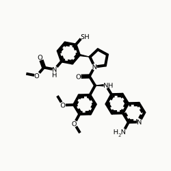 COC(=O)Nc1ccc(S)c([C@H]2CCCN2C(=O)[C@@H](Nc2ccc3c(N)nccc3c2)c2ccc(OC)c(OC)c2)c1